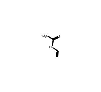 C=CNC(=S)C(=O)O